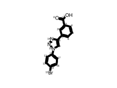 O=C(O)c1cccc(-c2cn(-c3ccc(Br)cc3)nn2)c1